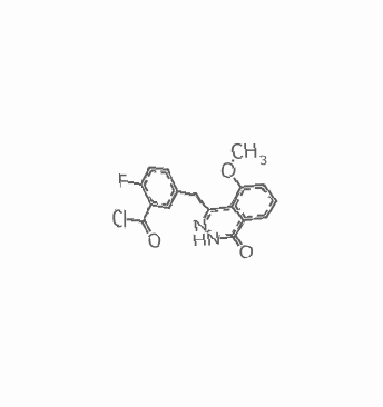 COc1cccc2c(=O)[nH]nc(Cc3ccc(F)c(C(=O)Cl)c3)c12